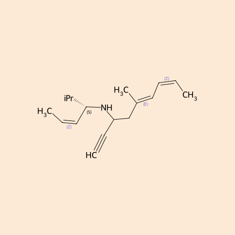 C#CC(C/C(C)=C/C=C\C)N[C@H](/C=C\C)C(C)C